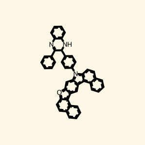 c1ccc(C2=Nc3ccccc3NC2c2ccc(-n3c4cc5oc6ccc7ccccc7c6c5cc4c4c5ccccc5ccc43)cc2)cc1